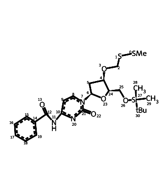 CSSCO[C@@H]1C[C@H](n2ccc(NC(=O)c3ccccc3)nc2=O)O[C@@H]1CO[Si](C)(C)C(C)(C)C